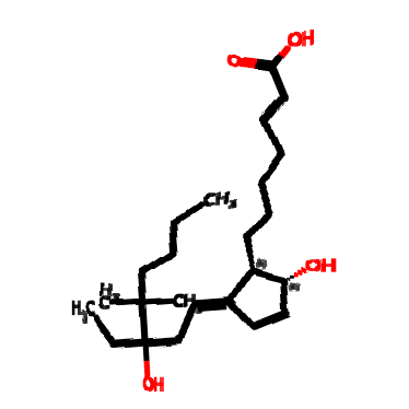 CCCCC(C)(C)C(O)(CC)CC=C1CC[C@@H](O)[C@@H]1CCCCCCC(=O)O